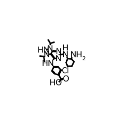 CC(C)N1NN(C(C)C)c2c(Nc3ccc(C(=O)O)c(Cl)c3)nc(NC3CCCCC3N)nc21